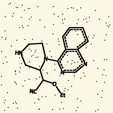 CCOC(C#N)C1CNCCN1c1ncnc2ccccc12